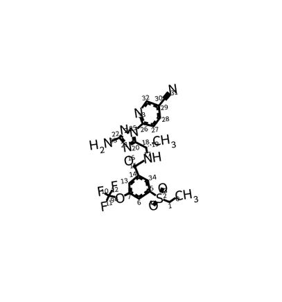 CCS(=O)(=O)c1cc(OC(F)(F)F)cc(C(=O)N[C@@H](C)c2nc(N)nn2-c2ccc(C#N)cn2)c1